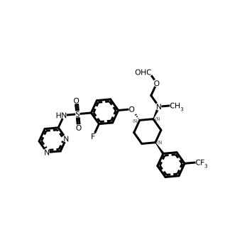 CN(COC=O)[C@H]1C[C@@H](c2cccc(C(F)(F)F)c2)CC[C@@H]1Oc1ccc(S(=O)(=O)Nc2ccncn2)c(F)c1